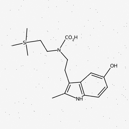 Cc1[nH]c2ccc(O)cc2c1CCN(CC[Si](C)(C)C)C(=O)O